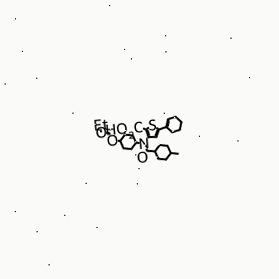 CCOCOC1CCC(N(C(=O)C2CCC(C)CC2)c2cc(C3=CCCCC3)sc2C(=O)O)CC1